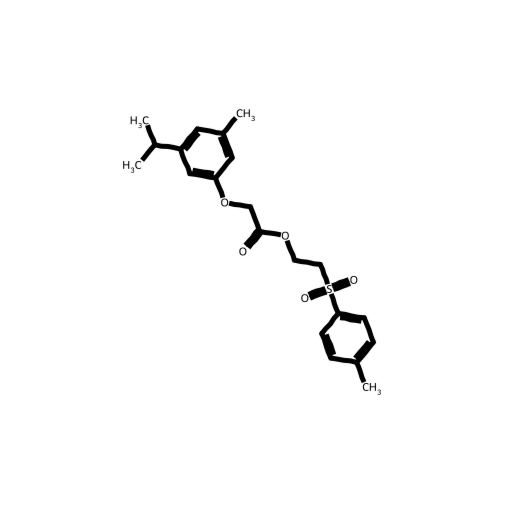 Cc1ccc(S(=O)(=O)CCOC(=O)COc2cc(C)cc(C(C)C)c2)cc1